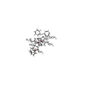 COc1ccccc1C(O)(c1ccccc1OC)[C@@H](Cc1ccccc1)NC(=O)C(=O)N[C@H](Cc1ccccc1)C(O)(c1ccccc1OC)c1ccccc1OC